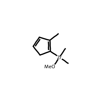 C[O][Zr]([CH3])([CH3])[C]1=C(C)C=CC1